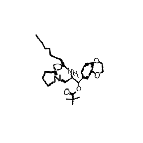 CCCCCCC(=O)N[C@H](CN1CCCC1)[C@H](OC(=O)C(C)(C)C)c1ccc2c(c1)OCCO2